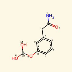 NC(=O)Cc1cccc(OB(O)O)c1